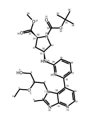 CCOC(CO)Cn1c(C)nc2nccc(-c3cccc(N[C@H]4C[C@@H](C(=O)OC)N(C(=O)OC(C)(C)C)C4)n3)c21